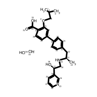 CC(C)COc1cc(-c2ccc(C[C@@H](C)NC[C@H](O)c3cccnc3)cc2)ccc1C(=O)O.Cl.Cl